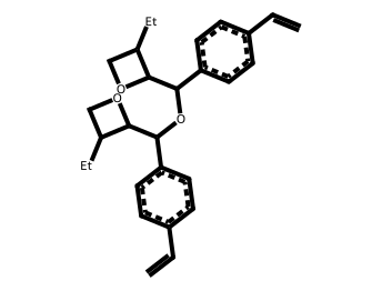 C=Cc1ccc(C(OC(c2ccc(C=C)cc2)C2OCC2CC)C2OCC2CC)cc1